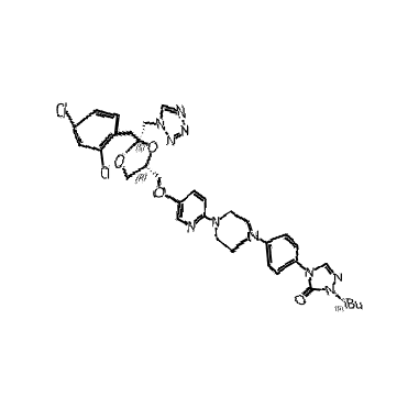 CC[C@H](C)n1ncn(-c2ccc(N3CCN(c4ccc(OC[C@@H]5CO[C@@](Cn6cnnn6)(c6ccc(Cl)cc6Cl)O5)cn4)CC3)cc2)c1=O